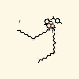 CCCCCCCC/C=C\CCCCCCCCOCC(C[N+](Cc1ccccc1)(C1CC(C)CCC1C(C)C)C1CC(C)CCC1C(C)C)OCCCCCCCC/C=C\CCCCCCCC.[I-]